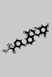 CN(C)C(=O)c1cccc(Oc2ccc3c(c2)c(=O)ncn3Cc2c(F)cc(F)cc2F)c1